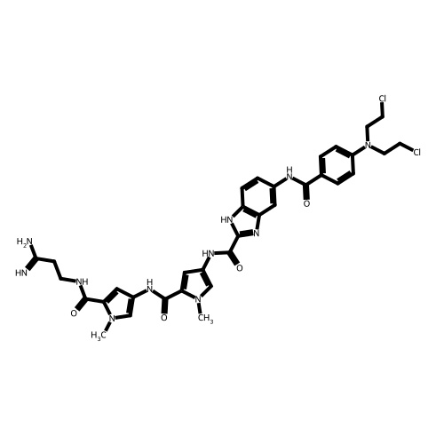 Cn1cc(NC(=O)c2cc(NC(=O)c3nc4cc(NC(=O)c5ccc(N(CCCl)CCCl)cc5)ccc4[nH]3)cn2C)cc1C(=O)NCCC(=N)N